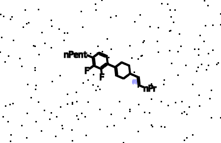 CCC/C=C/C1CC=C(c2ccc(CCCCC)c(F)c2F)CC1